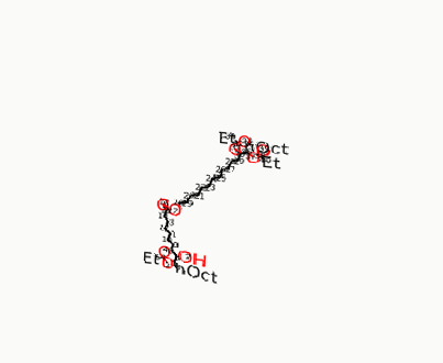 CCCCCCCCC(OC(=O)CC)C(O)CCCCCCCC(=O)OCCCCCCCCCCCCC(OC(=O)CC)C(CCCCCCCC)OC(=O)CC